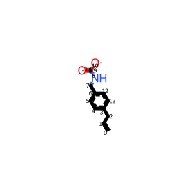 C=CCc1ccc(CNC([O])=O)cc1